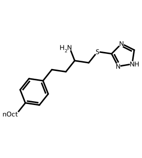 CCCCCCCCc1ccc(CCC(N)CSc2nc[nH]n2)cc1